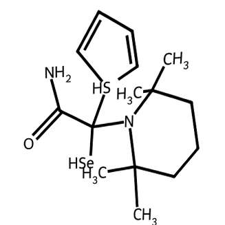 CC1(C)CCCC(C)(C)N1C([SeH])(C(N)=O)[SH]1C=CC=C1